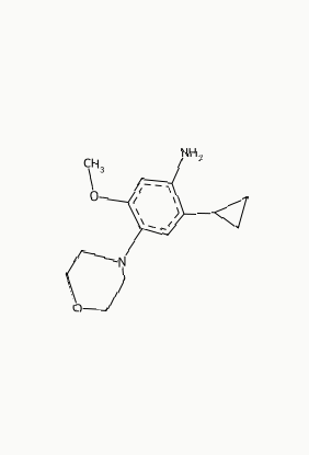 COc1cc(N)c(C2CC2)cc1N1CCOCC1